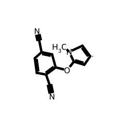 Cn1c[c]cc1Oc1cc(C#N)ccc1C#N